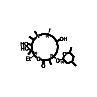 CC[C@H]1OC(=O)C(C)[C@@H](O[C@H]2CC(C)CC(C)O2)CCC(O)C[C@@H](C)CN(C)C(C)C(O)C1(C)O